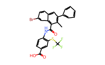 Cc1c(-c2ccccc2)cc2ccc(Br)cc2c1C(=O)Nc1ccc(C(=O)O)cc1SC(F)(F)F